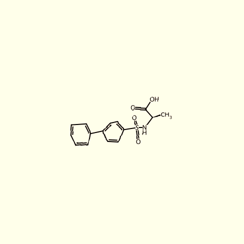 C[C@@H](NS(=O)(=O)c1ccc(-c2ccccc2)cc1)C(=O)O